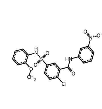 COc1ccccc1NS(=O)(=O)c1ccc(Cl)c(C(=O)Nc2cccc([N+](=O)[O-])c2)c1